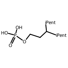 CCCC(C)C(CCOP(=O)(O)O)C(C)CCC